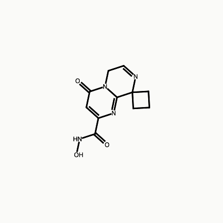 O=C(NO)c1cc(=O)n2c(n1)C1(CCC1)N=CC2